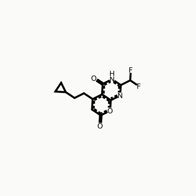 O=c1cc(CCC2CC2)c2c(=O)[nH]c(C(F)F)nc2o1